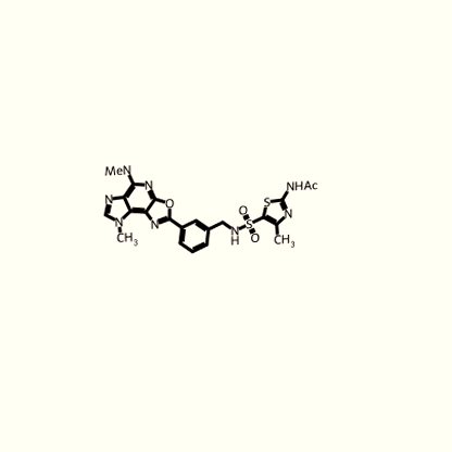 CNc1nc2oc(-c3cccc(CNS(=O)(=O)c4sc(NC(C)=O)nc4C)c3)nc2c2c1ncn2C